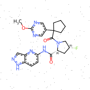 COc1ncc(C2(C(=O)N3C[C@H](F)C[C@@H]3C(=O)Nc3ccc4[nH]ncc4n3)CCCC2)cn1